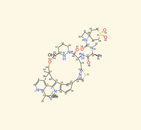 CCn1c(-c2cccnc2[C@H](C)OC)c2c3cc(ccc31)-c1csc(n1)C[C@H](NC(=O)[C@H](C(C)C)N(C)C(=O)N1CCC13CCS(=O)(=O)CC3)C(=O)N1CCCC(C=O)(COCC(C)(C)C2)N1